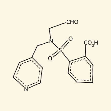 O=CCN(Cc1ccncc1)S(=O)(=O)c1ccccc1C(=O)O